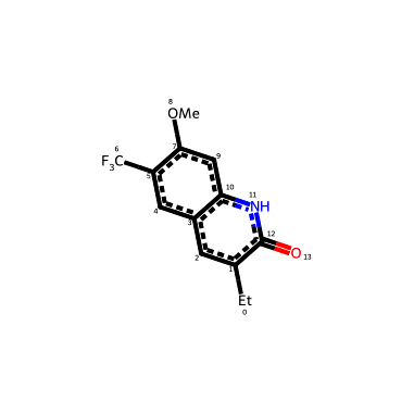 CCc1cc2cc(C(F)(F)F)c(OC)cc2[nH]c1=O